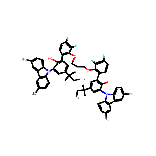 CC(C)(C)CC(C)(C)c1cc(-c2ccc(F)c(F)c2OCCCOc2c(-c3cc(C(C)(C)CC(C)(C)C)cc(-n4c5ccc(C(C)(C)C)cc5c5cc(C(C)(C)C)ccc54)c3O)ccc(F)c2F)c(O)c(-n2c3ccc(C(C)(C)C)cc3c3cc(C(C)(C)C)ccc32)c1